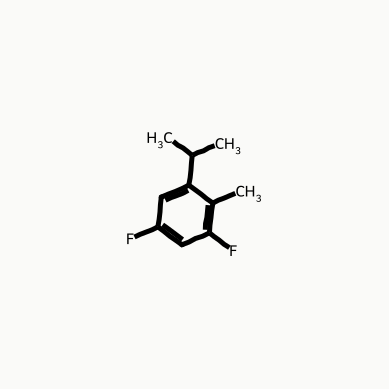 Cc1c(F)cc(F)cc1C(C)C